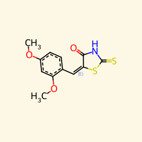 COc1ccc(/C=C2/SC(=S)NC2=O)c(OC)c1